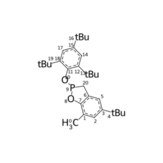 Cc1cc(C(C)(C)C)cc2c1OP(Oc1c(C(C)(C)C)cc(C(C)(C)C)cc1C(C)(C)C)C2